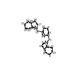 c1cc(Cn2ccc3ccccc32)nc(Cn2ccc3ccccc32)c1